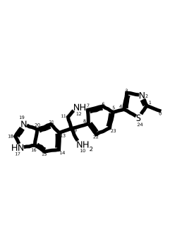 Cc1ncc(-c2ccc(C(N)(CN)c3ccc4[nH]cnc4c3)cc2)s1